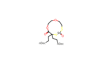 CCCCCCCCCCCCC1(CCCCCCCCCCCC)[S][Sn](=[O])[S]CCOCCOC1=O